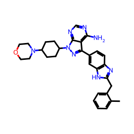 Cc1ccccc1Cc1nc2ccc(-c3nn(C4CCC(N5CCOCC5)CC4)c4ncnc(N)c34)cc2[nH]1